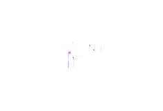 N.O.[Na+].[O-]Cl